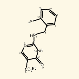 CCOC(=O)c1cnc(NCc2ccccc2F)[nH]c1=O